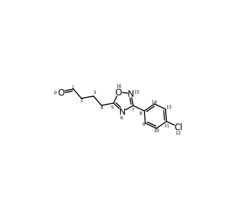 O=CCCCc1nc(-c2ccc(Cl)cc2)no1